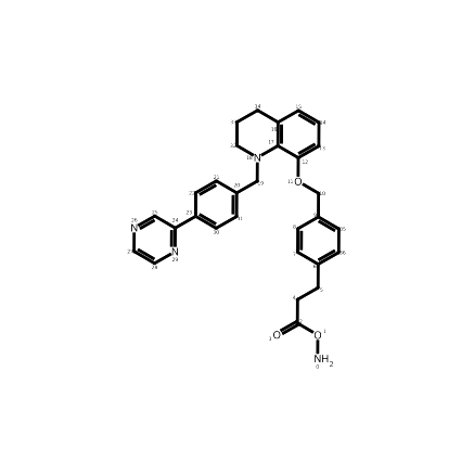 NOC(=O)CCc1ccc(COc2cccc3c2N(Cc2ccc(-c4cnccn4)cc2)CCC3)cc1